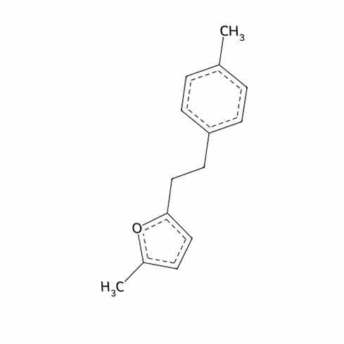 Cc1ccc(CCc2ccc(C)o2)cc1